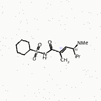 CN[C@H](/C=C(\C)C(=O)NS(=O)(=O)C1CCCCC1)C(C)C